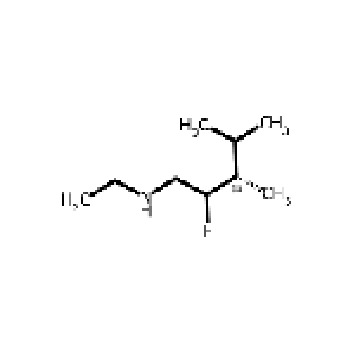 CCNCC(F)[C@@H](C)C(C)C